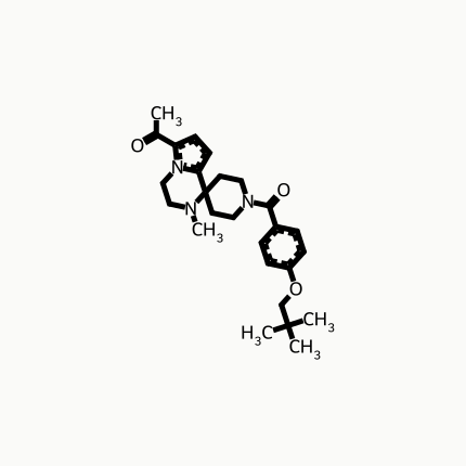 CC(=O)c1ccc2n1CCN(C)C21CCN(C(=O)c2ccc(OCC(C)(C)C)cc2)CC1